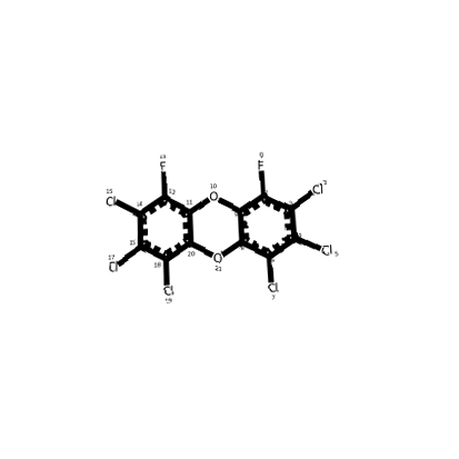 Fc1c(Cl)c(Cl)c(Cl)c2c1Oc1c(F)c(Cl)c(Cl)c(Cl)c1O2